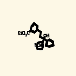 CCOC(=O)c1cccc(CCC(O)(c2ccccc2)C2CN3CCC2CC3)c1